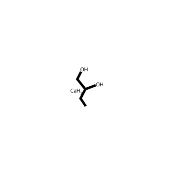 CCC(O)CO.[CaH2]